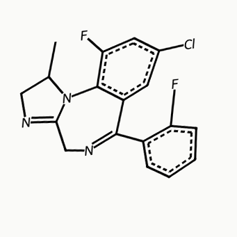 CC1CN=C2CN=C(c3ccccc3F)c3cc(Cl)cc(F)c3N21